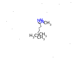 Cn1nncc1CCCCC(C)(C)C